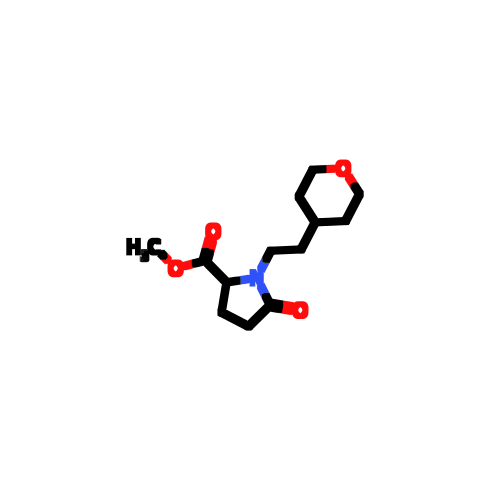 COC(=O)C1CCC(=O)N1CCC1CCOCC1